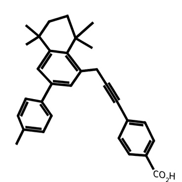 Cc1ccc(-c2cc(CC#Cc3ccc(C(=O)O)cc3)c3c(c2)C(C)(C)CCC3(C)C)cc1